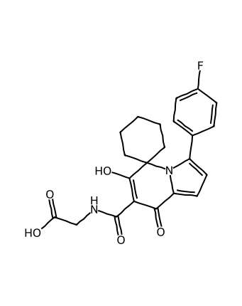 O=C(O)CNC(=O)C1=C(O)C2(CCCCC2)n2c(ccc2-c2ccc(F)cc2)C1=O